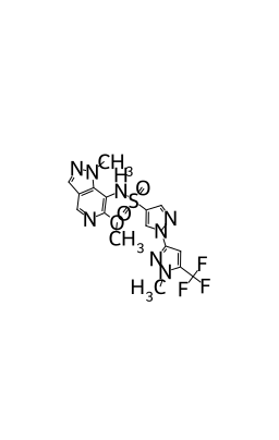 COc1ncc2cnn(C)c2c1NS(=O)(=O)c1cnn(-c2cc(C(F)(F)F)n(C)n2)c1